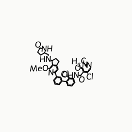 COc1nc(-c2cccc(-c3cccc(NC(=O)c4c(Cl)cnn(C)c4=O)c3Cl)c2Cl)cc2c1C(NCC1CCC(=O)N1)CC2